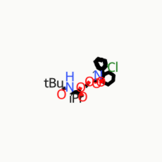 CC(C)[C@H](NC(=O)C(C)(C)C)C(=O)OCOC(=O)N(C)[C@]1(c2ccccc2Cl)CCCCC1=O